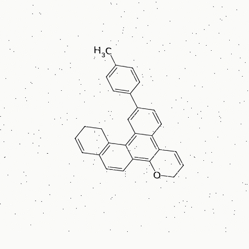 Cc1ccc(-c2ccc3c4c(c5ccc6c(c5c3c2)CCC=C6)OCC=C4)cc1